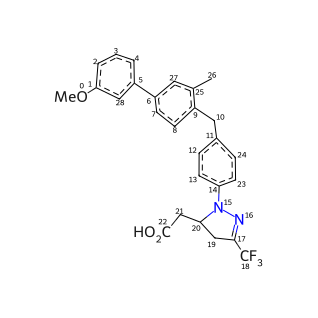 COc1cccc(-c2ccc(Cc3ccc(N4N=C(C(F)(F)F)CC4CC(=O)O)cc3)c(C)c2)c1